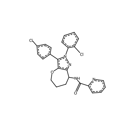 O=C(NC1CCCOc2c1nn(-c1ccccc1Cl)c2-c1ccc(Cl)cc1)c1ccccn1